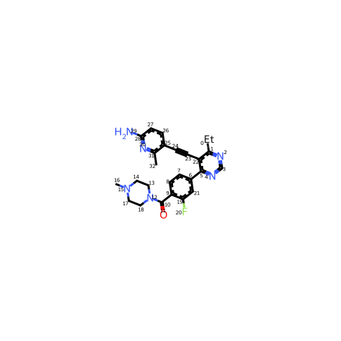 CCc1ncnc(-c2ccc(C(=O)N3CCN(C)CC3)c(F)c2)c1C#Cc1ccc(N)nc1C